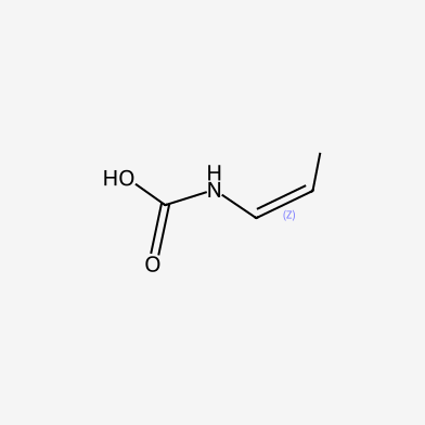 C/C=C\NC(=O)O